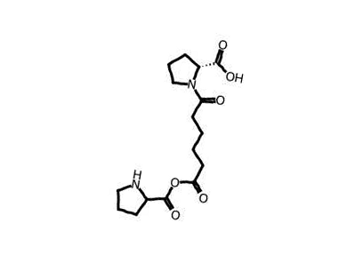 O=C(CCCCC(=O)N1CCC[C@@H]1C(=O)O)OC(=O)C1CCCN1